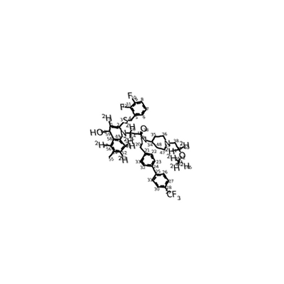 [2H]C1=C(SCc2cccc(F)c2F)N(C([2H])([2H])C(=O)N(Cc2ccc(-c3ccc(C(F)(F)F)cc3)cc2)C2CCN(CC([2H])([2H])OC([2H])([2H])[2H])CC2)c2c([2H])c([2H])c(C)c([2H])c2C1O